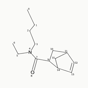 CCCCN(CC)C(=O)C1CC2C=CC1C2